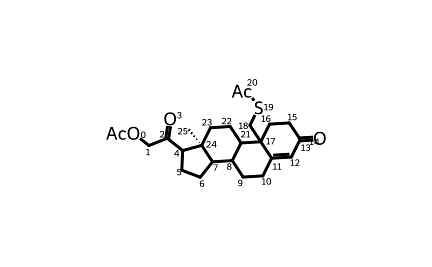 CC(=O)OCC(=O)C1CCC2C3CCC4=CC(=O)CCC4(CSC(C)=O)C3CC[C@]12C